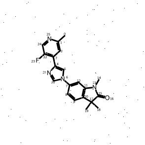 Cc1cc(-c2cn(-c3ccc4c(c3)N(C)C(=O)C4(C)C)cn2)c(F)cn1